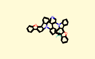 FC(F)(F)c1ccc(-n2c3ccccc3c3c4oc5ccccc5c4ccc32)c(-c2ccncc2-n2c3ccccc3c3c4oc5ccccc5c4ccc32)c1